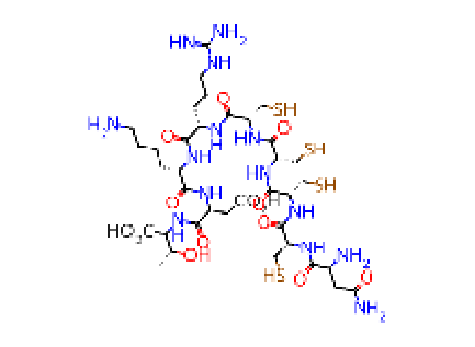 C[C@@H](O)[C@H](NC(=O)[C@H](CC(=O)O)NC(=O)[C@H](CCCCN)NC(=O)[C@H](CCCNC(=N)N)NC(=O)[C@H](CS)NC(=O)[C@H](CS)NC(=O)[C@H](CS)NC(=O)[C@H](CS)NC(=O)[C@@H](N)CC(N)=O)C(=O)O